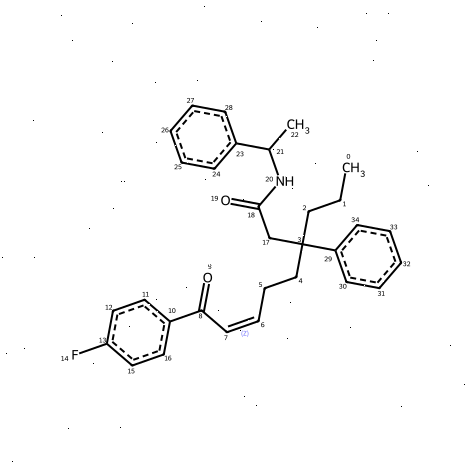 CCCC(CC/C=C\C(=O)c1ccc(F)cc1)(CC(=O)NC(C)c1ccccc1)c1ccccc1